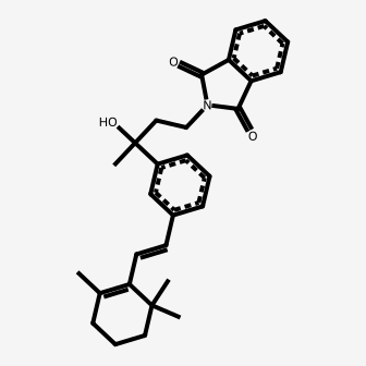 CC1=C(C=Cc2cccc(C(C)(O)CCN3C(=O)c4ccccc4C3=O)c2)C(C)(C)CCC1